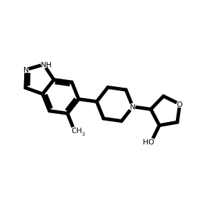 Cc1cc2cn[nH]c2cc1C1CCN(C2COCC2O)CC1